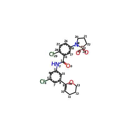 O=C(Nc1cc(Cl)cc(C2=CCCCO2)c1)c1cc(N2CCCS2(=O)=O)ccc1Cl